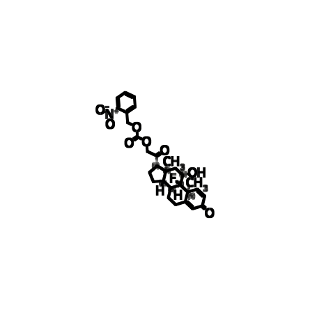 C[C@]12C[C@H](O)[C@@]3(F)[C@@H](CCC4=CC(=O)C=C[C@@]43C)[C@@H]1CC[C@@H]2C(=O)COC(=O)OCc1ccccc1[N+](=O)[O-]